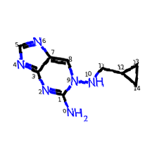 Nc1nc2ncnc-2cn1NCC1CC1